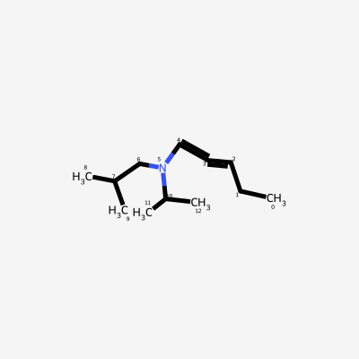 CCC=C=CN(CC(C)C)C(C)C